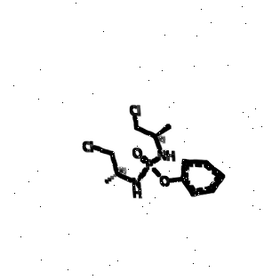 C[C@H](CCl)NP(=O)(N[C@H](C)CCl)Oc1ccccc1